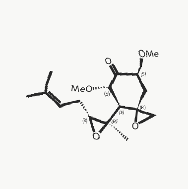 CO[C@H]1C[C@]2(CO2)[C@@H]([C@@]2(C)O[C@@H]2CC=C(C)C)[C@H](OC)C1=O